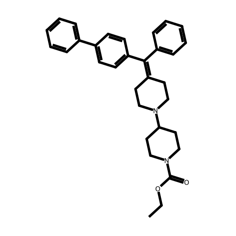 CCOC(=O)N1CCC(N2CCC(=C(c3ccccc3)c3ccc(-c4ccccc4)cc3)CC2)CC1